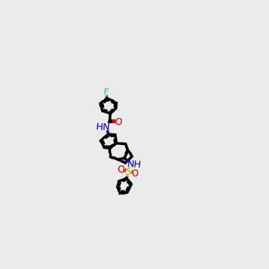 O=C(Nc1ccc2c(c1)CC1CCC(C2)C1NS(=O)(=O)c1ccccc1)c1ccc(F)cc1